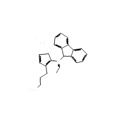 C[CH]=[Zr+2]([C]1=C(CCCO)C=CC1)[CH]1c2ccccc2-c2ccccc21.[Cl-].[Cl-]